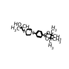 CC(C)(O)CN1CCN(c2ccc(B3OC(C)(C)C(C)(C)O3)cc2)CC1